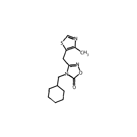 Cc1ncsc1Cc1noc(=O)n1CC1CCCCC1